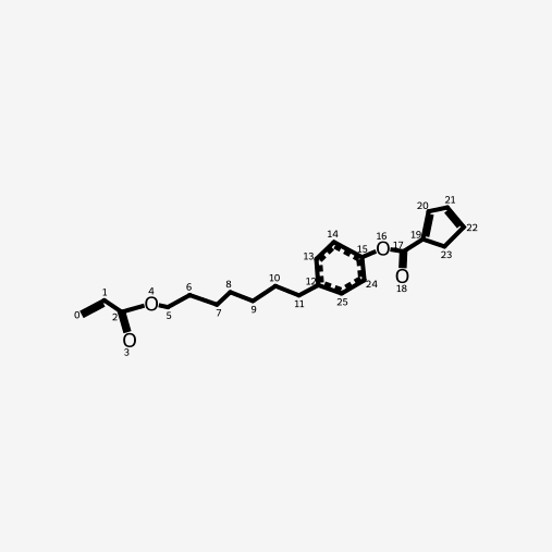 C=CC(=O)OCCCCCCCc1ccc(OC(=O)C2=CC=CC2)cc1